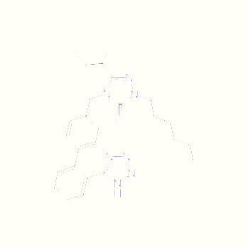 CCCCCCn1nc(C(C)CC)n(Cc2ccc(-c3ccccc3-c3nnn[nH]3)cc2)c1=O